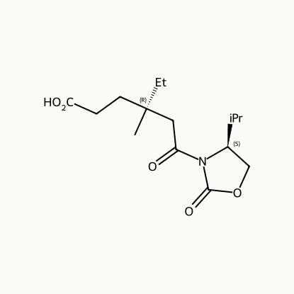 CC[C@](C)(CCC(=O)O)CC(=O)N1C(=O)OC[C@@H]1C(C)C